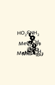 CC[C@H](C)C[C@@](C)(OC)[C@@H](C(=O)[C@@H]1CN[C@H](C(=O)[C@@](C)(COC)c2cccc(C[C@H](N)C(=O)O)c2)C1)N(C)C(=O)[C@@H](NC)C(C)C